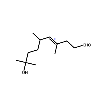 C/C(=C\C(C)CCC(C)(C)O)CCC=O